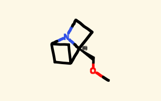 COC[C@]12CCN1C1CC2C1